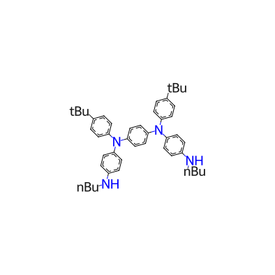 CCCCNc1ccc(N(c2ccc(N(c3ccc(NCCCC)cc3)c3ccc(C(C)(C)C)cc3)cc2)c2ccc(C(C)(C)C)cc2)cc1